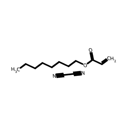 C=CC(=O)OCCCCCCCC.N#CC#N